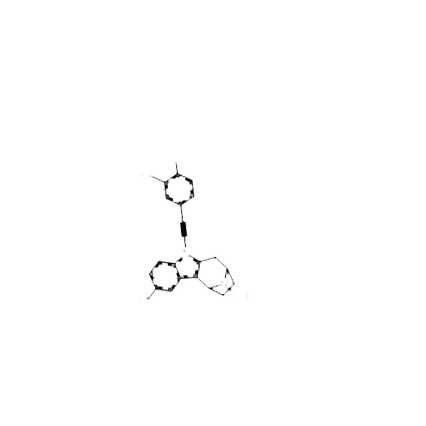 CN1C2CCC1c1c(n(C#Cc3ccc(Cl)c(Cl)c3)c3ccc(Cl)cc13)C2